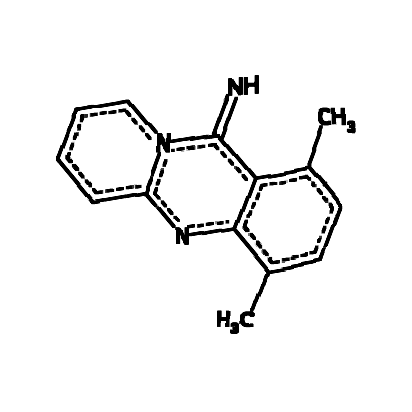 Cc1ccc(C)c2c(=N)n3ccccc3nc12